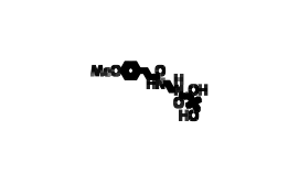 COc1ccc(CCC(=O)NCCNC(=O)[C@H](O)C(C)(C)CO)cc1